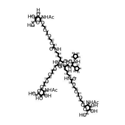 CC(=O)N[C@H]1[C@H](OCCOCCOCCOCC(=O)NCCCCC(NC(=O)COCCOCCOCCO[C@@H]2O[C@H](CO)[C@H](O)[C@H](O)[C@H]2NC(C)=O)C(=O)NC(CCCCNC(=O)COCCOCCOCCO[C@@H]2O[C@H](CO)[C@H](O)[C@H](O)[C@H]2NC(C)=O)C(=O)NC(C(=O)NC2CCCC2)C2CCCC2)O[C@H](CO)[C@H](O)[C@@H]1O